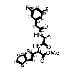 COC(=O)C(NC(=O)[C@H](C)NC(=O)Cc1cc(F)cc(F)c1)c1cc2ccsc2s1